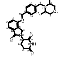 CC1COCC(C)N1Cc1ccc(COc2cccc3c2CN(C2CCC(=O)NC2=O)C3=O)cc1